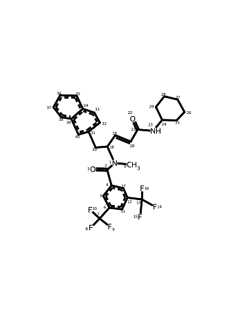 CN(C(=O)c1cc(C(F)(F)F)cc(C(F)(F)F)c1)C(C=CC(=O)NC1CCCCC1)Cc1ccc2ccccc2c1